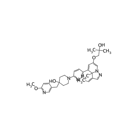 C/C=C1/C=NN2C=C(OCC(C)(C)O)C=C(c3ccc(N4CCC(O)(Cc5ccc(OC)nc5)CC4)nc3)C12C